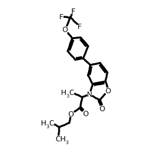 CC(C)COC(=O)C(C)n1c(=O)oc2ccc(-c3ccc(OC(F)(F)F)cc3)cc21